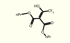 CCCOC(=O)C(C(=O)OCCC)=C(O)C(F)(F)F